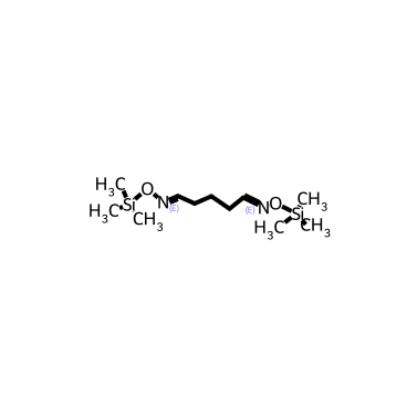 C[Si](C)(C)O/N=C/CCC/C=N/O[Si](C)(C)C